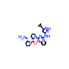 NC[C@H]1CCCN1C(=O)[C@@H]1CCCN1c1nc(Nc2cc(C3CC3)[nH]n2)n2cccc2n1